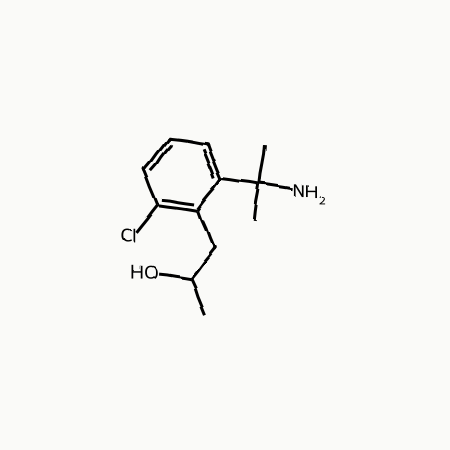 CC(O)Cc1c(Cl)cccc1C(C)(C)N